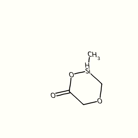 C[SiH]1COCC(=O)O1